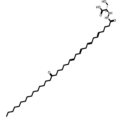 CCCCCCCCCCCCCCCC(=O)CCCCCC=CCC=CCC=CCC=CCCCC(=O)PN[C@@H](CO)C(=O)O